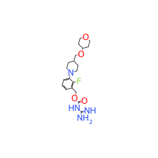 N=C(N)NC(=O)OCc1cccc(N2CCC(COC3CCOCC3)CC2)c1F